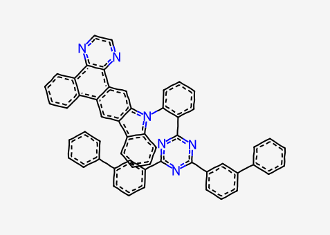 c1ccc(-c2cccc(-c3nc(-c4cccc(-c5ccccc5)c4)nc(-c4ccccc4-n4c5ccccc5c5cc6c7ccccc7c7nccnc7c6cc54)n3)c2)cc1